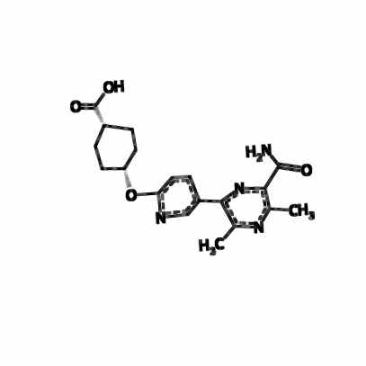 Cc1nc(C)c(-c2ccc(O[C@H]3CC[C@@H](C(=O)O)CC3)nc2)nc1C(N)=O